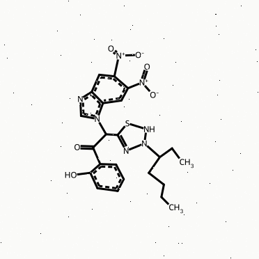 CCCCC(CC)N1N=C(C(C(=O)c2ccccc2O)n2cnc3cc([N+](=O)[O-])c([N+](=O)[O-])cc32)SN1